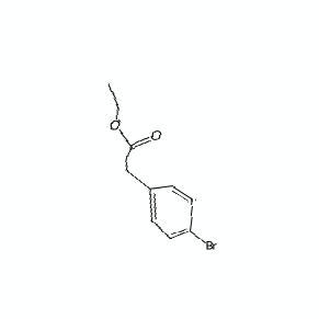 CCOC(=O)Cc1c[c]c(Br)cc1